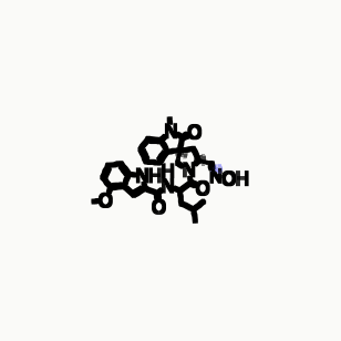 COc1cccc2[nH]c(C(=O)NC(CC(C)C)C(=O)N3C[C@]4(C[C@H]3/C=N/O)C(=O)N(C)c3ccccc34)cc12